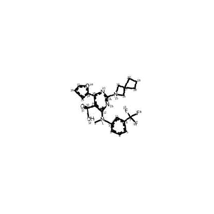 CN(c1cccc(C(F)(F)F)c1)c1nc(N2CC3(CCC3)C2)nc(-c2ccco2)c1C(=O)O